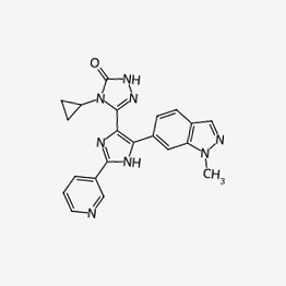 Cn1ncc2ccc(-c3[nH]c(-c4cccnc4)nc3-c3n[nH]c(=O)n3C3CC3)cc21